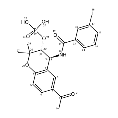 CC(=O)c1ccc2c(c1)[C@H](NC(=O)c1cccc(I)c1)[C@@H](OP(=O)(O)O)C(C)(C)O2